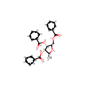 N#C[C@@H]1O[C@H](COC(=O)c2ccccc2)[C@@H](OC(=O)c2ccccc2)[C@H]1OC(=O)c1ccccc1